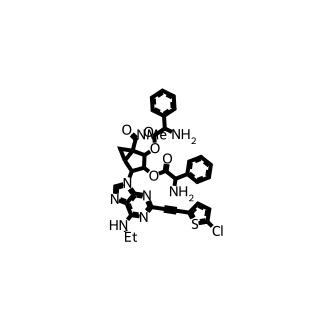 CCNc1nc(C#Cc2ccc(Cl)s2)nc2c1ncn2C1C(OC(=O)C(N)c2ccccc2)C(OC(=O)C(N)c2ccccc2)C2(C(=O)NC)CC12